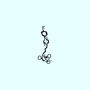 O=C1C[S+]([O-])C(=O)N1CCCCN1CCN(c2ccc(F)cc2)CC1